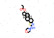 CCC(=O)O[C@H]1CC[C@H]2[C@@H]3CC=C4c5sc(NN6CCOCC6)nc5CC[C@]4(C)[C@H]3CC[C@]12C